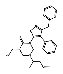 C=CCC(C)N1CN(CC(C)C)C(=O)N(c2snc(Cc3ccccc3)c2-c2ccccc2)C1